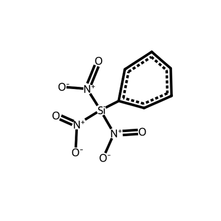 O=[N+]([O-])[Si](c1ccccc1)([N+](=O)[O-])[N+](=O)[O-]